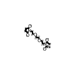 O=C1C=CC(=O)N1CCOCCOCCN1C(=O)C=NC1=O